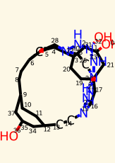 OC1CC2CCC3CCC4CCC(CCN(CCC(CC2)C1)NNN1CCN(CC3)NN(O)N1)CC(O)C4